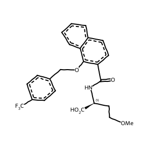 COCC[C@H](NC(=O)c1ccc2ccccc2c1OCc1ccc(C(F)(F)F)cc1)C(=O)O